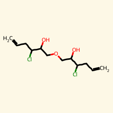 C=CCC(Cl)C(O)COCC(O)C(Cl)CC=C